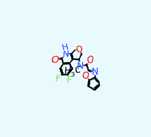 CN(C(=O)c1nc2ccccc2o1)C1COCc2[nH]c(=O)c3cc(F)c(F)cc3c21